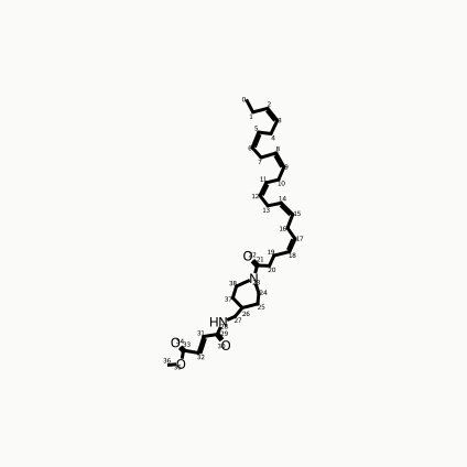 CC/C=C\C/C=C\C/C=C\C/C=C\C/C=C\C/C=C\CCC(=O)N1CCC(CNC(=O)C=CC(=O)OC)CC1